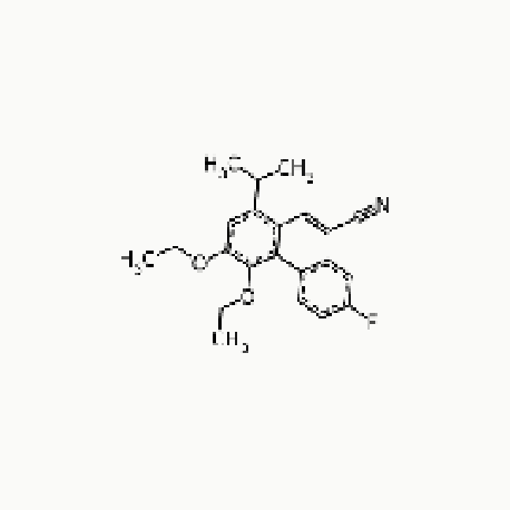 CCOc1cc(C(C)C)c(C=CC#N)c(-c2ccc(F)cc2)c1OCC